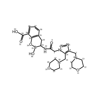 O=C(Cn1nnc(CN2CCOCC2)c1CN1CCOCC1)NC1Cc2cccc(C(=O)O)c2OB1O